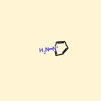 N[n+]1[c]cccc1